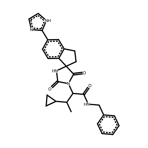 CC(C1CC1)C(C(=O)NCc1ccccc1)N1C(=O)NC2(CCc3cc(-c4ncc[nH]4)ccc32)C1=O